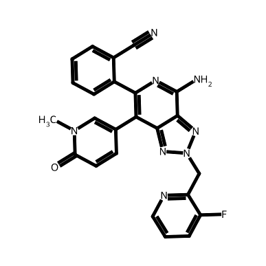 Cn1cc(-c2c(-c3ccccc3C#N)nc(N)c3nn(Cc4ncccc4F)nc23)ccc1=O